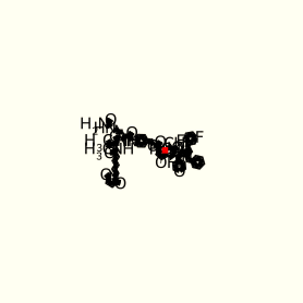 CC(C)[C@H](NC(=O)CCCCCN1C(=O)C=CC1=O)C(=O)N[C@@H](CCCNC(N)=O)C(=O)Nc1ccc(COC(=O)N2C[C@@H](CN(C(=O)[C@H](C)O)[C@@H](c3nc(-c4cc(F)ccc4F)cn3Cc3ccccc3)C3CCOCC3)[C@H](O)C2)cc1